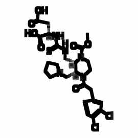 COC(=O)N1CCN(C(=O)Cc2ccc(Cl)c(Cl)c2)[C@H](CN2CCCC2)[C@@H]1CNC(=S)N[C@@H](CC(=O)O)C(=O)O